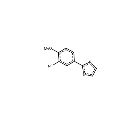 COc1ccc(-c2nccs2)cc1C#N